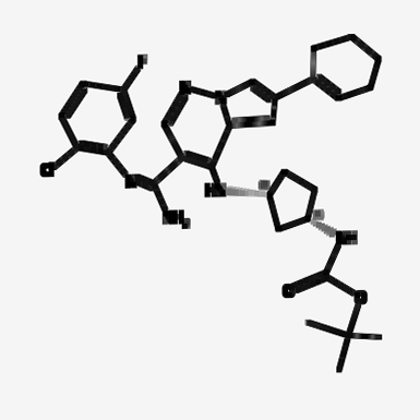 CC(C)(C)OC(=O)N[C@H]1CC[C@@H](Nc2c(C(N)=Nc3cc(F)ccc3Cl)cnn3cc(C4=CCCCC4)cc23)C1